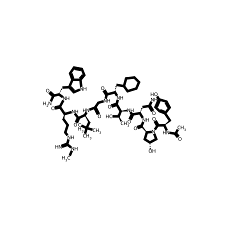 CNC(=N)NCCC[C@H](NC(=O)[C@H](CC(C)(C)C)NC(=O)CNC(=O)[C@H](CC1CCCCC1)NC(=O)[C@@H](NC(=O)[C@H](CC(N)=O)NC(=O)[C@@H]1C[C@@H](O)CN1C(=O)[C@@H](Cc1ccc(O)cc1)NC(C)=O)[C@@H](C)O)C(=O)N[C@@H](Cc1c[nH]c2ccccc12)C(N)=O